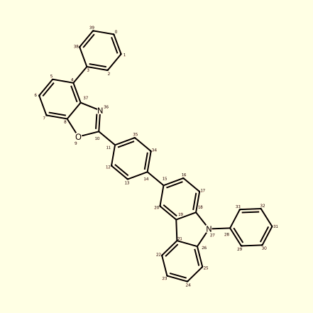 c1ccc(-c2cccc3oc(-c4ccc(-c5ccc6c(c5)c5ccccc5n6-c5ccccc5)cc4)nc23)cc1